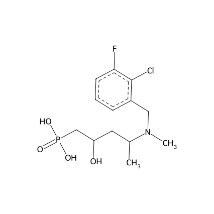 CC(CC(O)CP(=O)(O)O)N(C)Cc1cccc(F)c1Cl